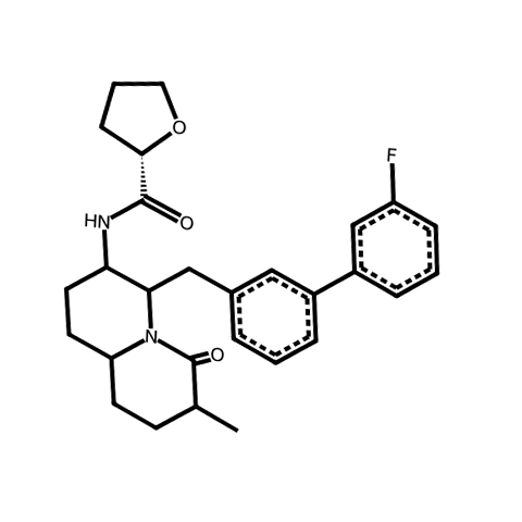 CC1CCC2CCC(NC(=O)[C@@H]3CCCO3)C(Cc3cccc(-c4cccc(F)c4)c3)N2C1=O